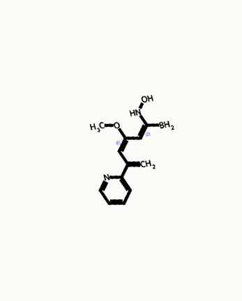 B/C(=C/C(=C\C(=C)c1ccccn1)OC)NO